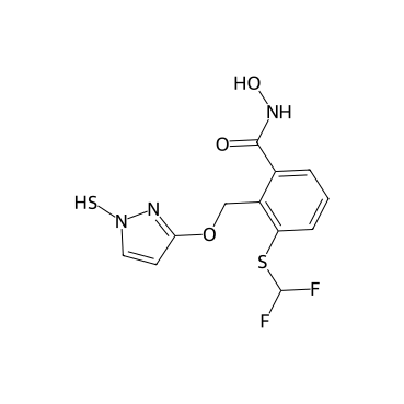 O=C(NO)c1cccc(SC(F)F)c1COc1ccn(S)n1